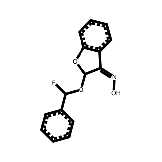 ON=C1c2ccccc2OC1OC(F)c1ccccc1